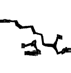 CCCCCCCCCCCCCCCCC(O)COC(C)=O.CCOCC.[NaH]